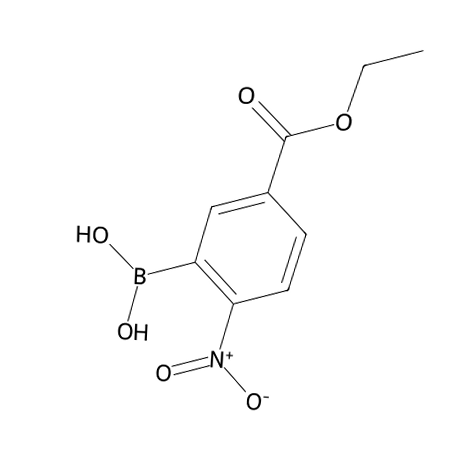 CCOC(=O)c1ccc([N+](=O)[O-])c(B(O)O)c1